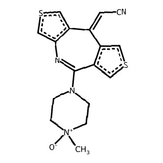 C[N+]1([O-])CCN(C2=Nc3cscc3/C(=C/C#N)c3cscc32)CC1